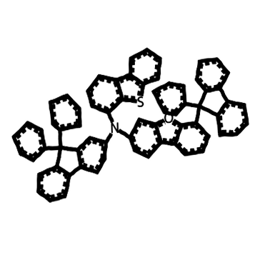 c1ccc(C2(c3ccccc3)c3ccccc3-c3ccc(N(c4ccc5c(c4)oc4c(C6(c7ccccc7)c7ccccc7-c7ccccc76)cccc45)c4cccc5c4sc4ccccc45)cc32)cc1